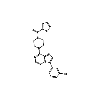 O=C(c1ccco1)N1CCN(c2nccn3c(-c4cccc(O)c4)cnc23)CC1